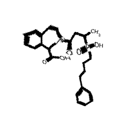 CC(CC(=O)N1CCc2ccccc2C1C(=O)O)P(=O)(O)CCCCc1ccccc1